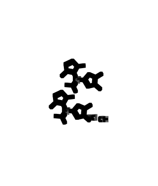 CC1=C(C)C[C]([Hf]([C]2=C(C)C=CC2C)=[C](C)C)=C1.CC1=C(C)C[C]([Hf]([C]2=C(C)C=CC2C)=[C](C)C)=C1.Cl.Cl